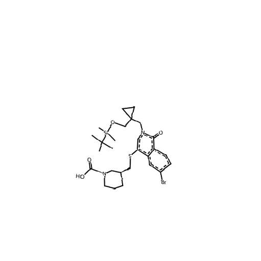 CC(C)(C)[Si](C)(C)OCC1(Cn2cc(SC[C@H]3CCCN(C(=O)O)C3)c3cc(Br)ccc3c2=O)CC1